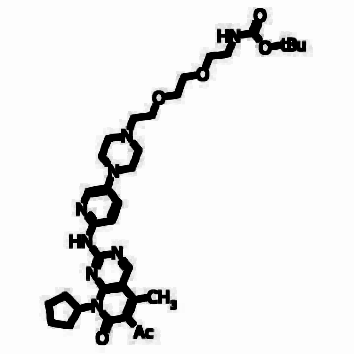 CC(=O)c1c(C)c2cnc(Nc3ccc(N4CCN(CCOCCOCCNC(=O)OC(C)(C)C)CC4)cn3)nc2n(C2CCCC2)c1=O